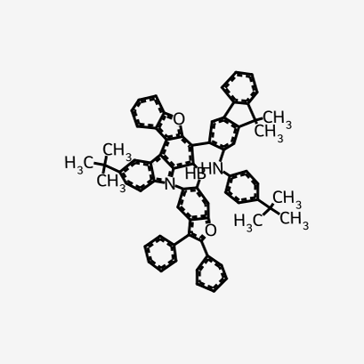 CC(C)(C)c1ccc(Nc2cc3c(cc2-c2c4c5c(c6cc(C(C)(C)C)ccc6n5-c5cc6c(-c7ccccc7)c(-c7ccccc7)oc6cc5B4)c4c2oc2ccccc24)-c2ccccc2C3(C)C)cc1